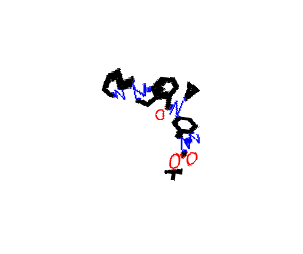 CC(C)(C)OC(=O)n1cc2c(n1)CCC(N(C(=O)c1cccc3c1CCN3Cc1ccccn1)C1CC1)C2